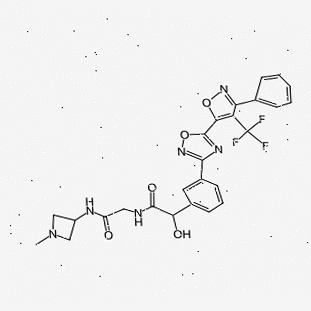 CN1CC(NC(=O)CNC(=O)C(O)c2cccc(-c3noc(-c4onc(-c5ccccc5)c4C(F)(F)F)n3)c2)C1